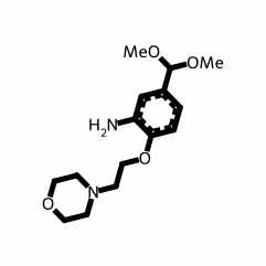 COC(OC)c1ccc(OCCN2CCOCC2)c(N)c1